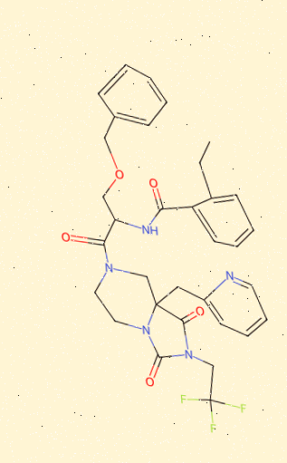 CCc1ccccc1C(=O)NC(COCc1ccccc1)C(=O)N1CCN2C(=O)N(CC(F)(F)F)C(=O)C2(Cc2ccccn2)C1